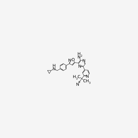 CC(C)(C#N)c1cc(-c2cnc(N)c(-c3cc(-c4ccc(CNC5CC5)cc4)no3)n2)ccn1